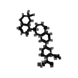 CC1(C)CCc2ncnc(N3CCOc4ccc(-c5cnc(C(N)=O)c(N)c5)cc4C3)c2C1